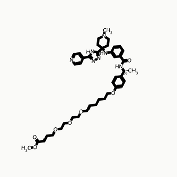 COC(=O)CCCOCCOCCOCCCCCCOc1ccc([C@@H](C)NC(=O)c2cccc(NC3(c4nnc(-c5ccncc5)[nH]4)CCN(C)CC3)c2)cc1